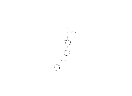 CC(CCn1ccc(-c2ccc(NC(=O)Cc3ccccc3)cc2)cc1=O)(C(=O)NO)[SH](=O)=O